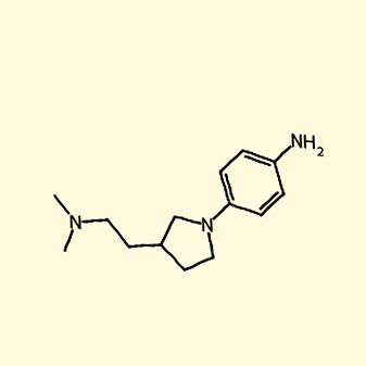 CN(C)CCC1CCN(c2ccc(N)cc2)C1